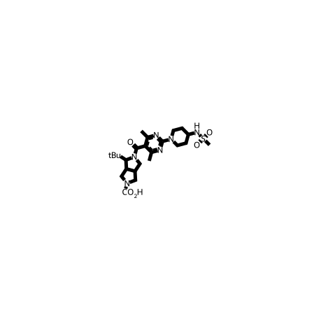 Cc1nc(N2CCC(NS(C)(=O)=O)CC2)nc(C)c1C(=O)N1CC2CN(C(=O)O)CC2C1C(C)(C)C